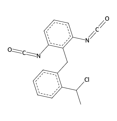 CC(Cl)c1ccccc1Cc1c(N=C=O)cccc1N=C=O